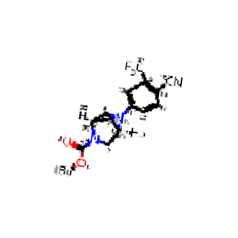 CC(C)(C)OC(=O)N1C[C@H]2C[C@@H]1CN2c1ccc(C#N)c(C(F)(F)F)c1